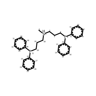 C[SiH](CCCP(c1ccccc1)c1ccccc1)CCCP(c1ccccc1)c1ccccc1